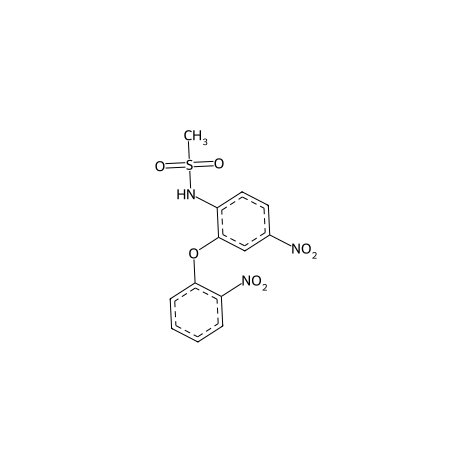 CS(=O)(=O)Nc1ccc([N+](=O)[O-])cc1Oc1ccccc1[N+](=O)[O-]